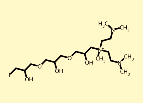 CN(C)CC[N+](C)(CCN(C)C)CC(O)COCC(O)COCC(O)CI